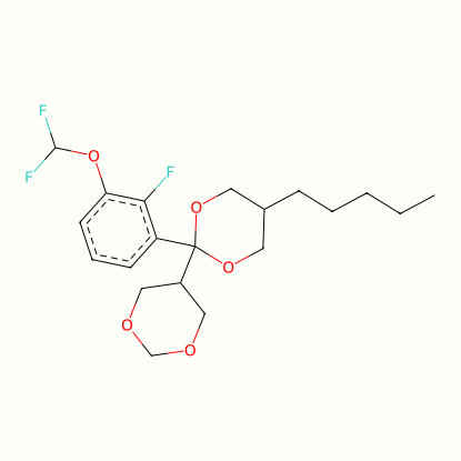 CCCCCC1COC(c2cccc(OC(F)F)c2F)(C2COCOC2)OC1